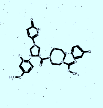 COC(=O)N1CCN(C(=O)[C@@H]2CN(c3ccc(=O)[nH]n3)C[C@H]2c2ccc(OC)cc2F)CCC[C@@H]1c1ccc(Cl)cc1